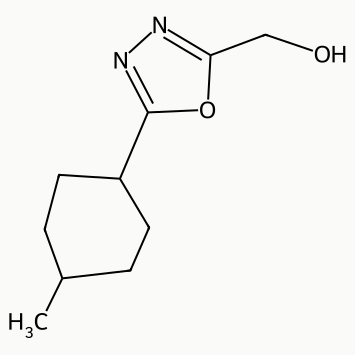 CC1CCC(c2nnc(CO)o2)CC1